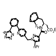 CCCc1cc(C(=O)N[C@@H](CC(=O)OCC)Cc2ccccc2F)nn1Cc1ccc(-c2ccccc2-c2nnn[nH]2)nc1